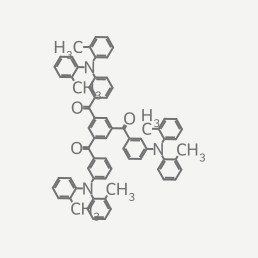 Cc1ccccc1N(c1cccc(C(=O)c2cc(C(=O)c3cccc(N(c4ccccc4C)c4ccccc4C)c3)cc(C(=O)c3cccc(N(c4ccccc4C)c4ccccc4C)c3)c2)c1)c1ccccc1C